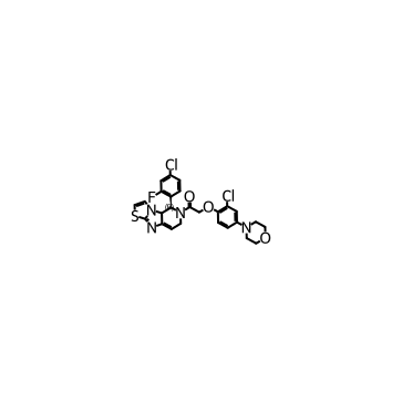 O=C(COc1ccc(N2CCOCC2)cc1Cl)N1CC=C2N=C3SC=CN3C2[C@H]1c1ccc(Cl)cc1F